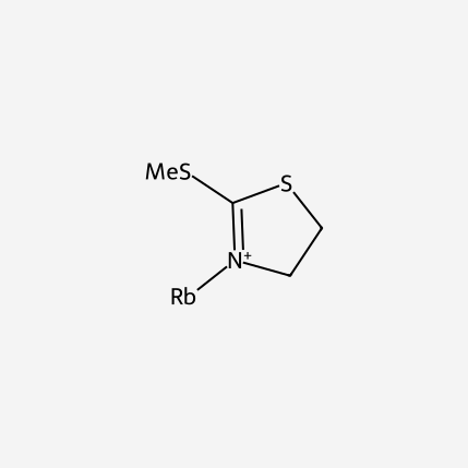 CSC1=[N+]([Rb])CCS1